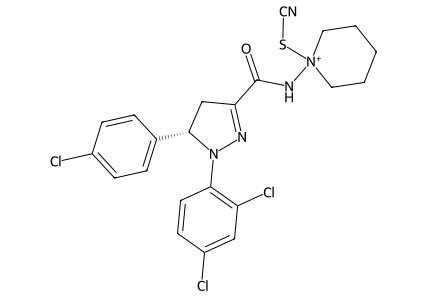 N#CS[N+]1(NC(=O)C2=NN(c3ccc(Cl)cc3Cl)[C@H](c3ccc(Cl)cc3)C2)CCCCC1